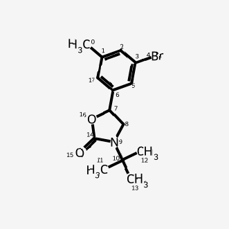 Cc1cc(Br)cc(C2CN(C(C)(C)C)C(=O)O2)c1